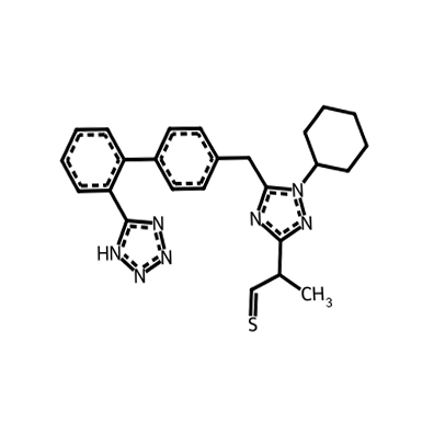 CC(C=S)c1nc(Cc2ccc(-c3ccccc3-c3nnn[nH]3)cc2)n(C2CCCCC2)n1